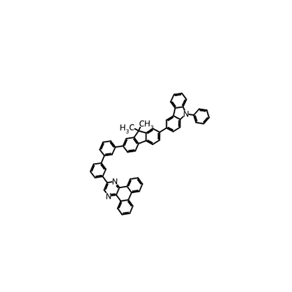 CC1(C)c2cc(-c3cccc(-c4cccc(-c5cnc6c7ccccc7c7ccccc7c6n5)c4)c3)ccc2-c2ccc(-c3ccc4c(c3)c3ccccc3n4-c3ccccc3)cc21